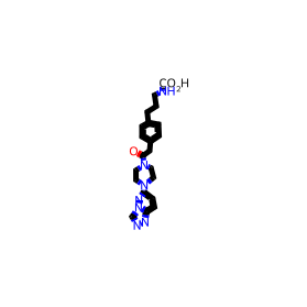 O=C(O)NCCCc1ccc(CC(=O)N2CCN(c3ccc4nncn4n3)CC2)cc1